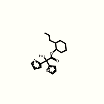 CCCC1CCCCC1OC(=O)C(O)(c1cccs1)c1cccs1